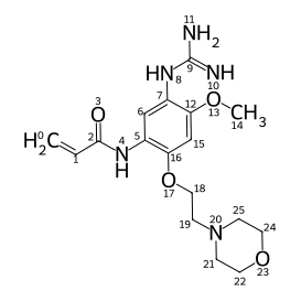 C=CC(=O)Nc1cc(NC(=N)N)c(OC)cc1OCCN1CCOCC1